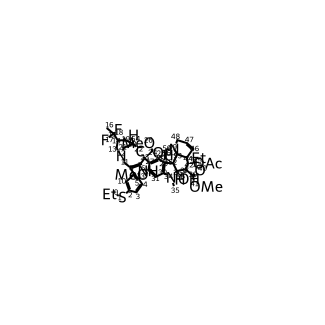 CCSc1ccc2[nH]c3c(c2c1)CN1CC(C(C)(F)F)C[C@@H](C1)C[C@]3(C(=O)OC)c1cc2c(cc1OC)N(C)[C@H]1[C@@](O)(C(=O)OC)[C@H](OC(C)=O)[C@]3(CC)C=CCN4CC[C@]21[C@@H]43